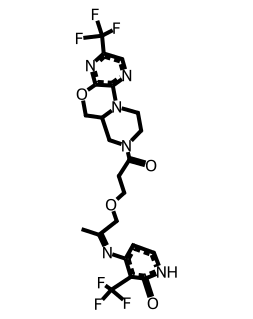 C/C(COCCC(=O)N1CCN2c3ncc(C(F)(F)F)nc3OCC2C1)=N/c1cc[nH]c(=O)c1C(F)(F)F